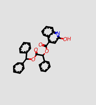 O=C(OC(C(=O)OC(c1ccccc1)c1ccccc1)c1ccccc1)c1cc(O)nc2ccccc12